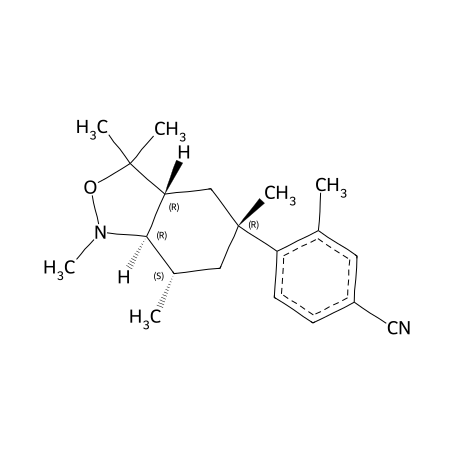 Cc1cc(C#N)ccc1[C@@]1(C)C[C@@H]2[C@@H]([C@@H](C)C1)N(C)OC2(C)C